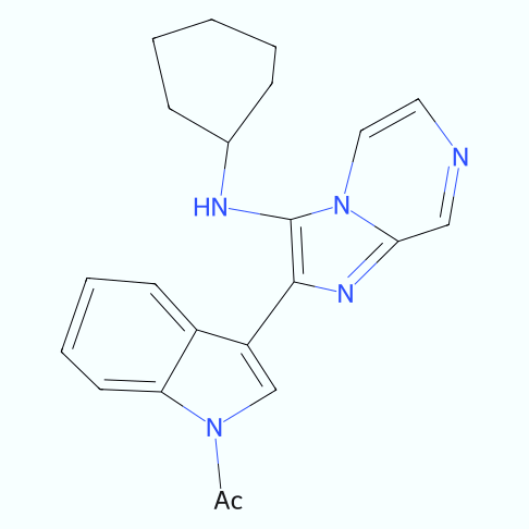 CC(=O)n1cc(-c2nc3cnccn3c2NC2CCCCC2)c2ccccc21